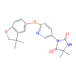 CC1(C)NC(=O)N(c2ccc(Oc3ccc4c(c3)C(C)(C)CO4)nc2)C1=O